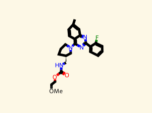 COCCOC(=O)NC[C@@H]1CCCN(c2nc(-c3ccccc3F)nc3cc(C)ccc23)C1